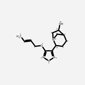 C/C=C/COc1nsnc1C1CCC2CN1CC2O